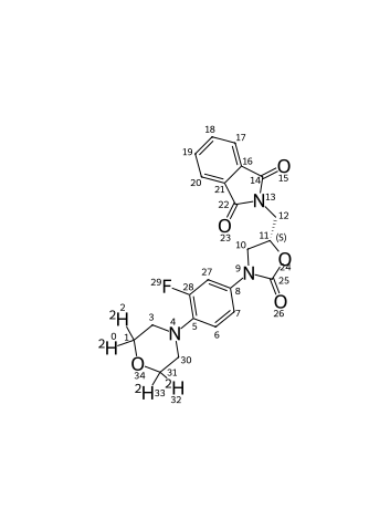 [2H]C1([2H])CN(c2ccc(N3C[C@H](CN4C(=O)c5ccccc5C4=O)OC3=O)cc2F)CC([2H])([2H])O1